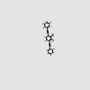 Cc1c(C#Cc2ccccc2)ccc(C#Cc2ccccc2)c1F